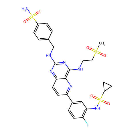 CS(=O)(=O)CCNc1nc(NCc2ccc(S(N)(=O)=O)cc2)nc2ccc(-c3ccc(F)c(NS(=O)(=O)C4CC4)c3)nc12